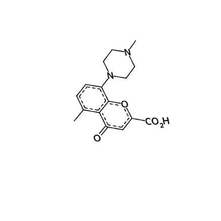 Cc1ccc(N2CCN(C)CC2)c2oc(C(=O)O)cc(=O)c12